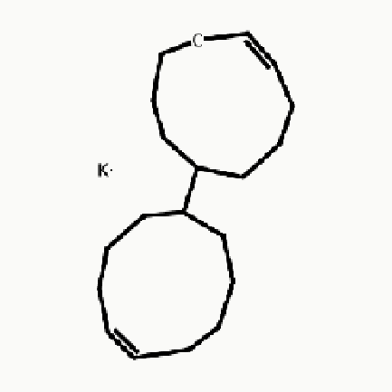 C1=CCCCC(C2CCCC=CCCCC2)CCCC1.[K]